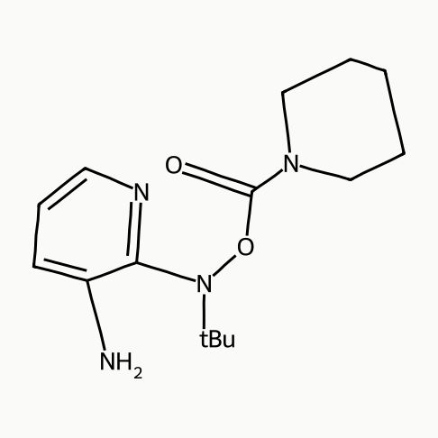 CC(C)(C)N(OC(=O)N1CCCCC1)c1ncccc1N